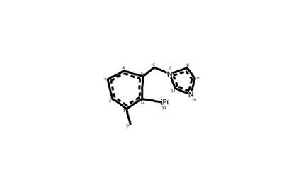 Cc1cccc(Cn2ccnc2)c1C(C)C